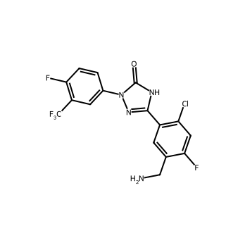 NCc1cc(-c2nn(-c3ccc(F)c(C(F)(F)F)c3)c(=O)[nH]2)c(Cl)cc1F